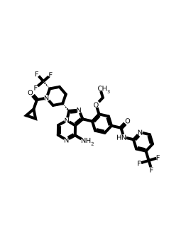 CCOc1cc(C(=O)Nc2cc(C(F)(F)F)ccn2)ccc1-c1nc([C@H]2CC[C@@H](C(F)(F)F)N(C(=O)C3CC3)C2)n2ccnc(N)c12